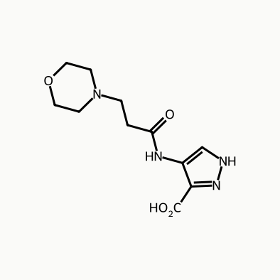 O=C(CCN1CCOCC1)Nc1c[nH]nc1C(=O)O